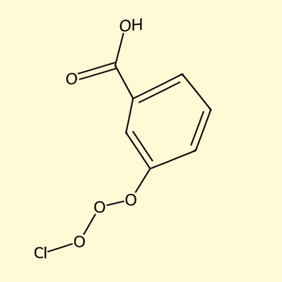 O=C(O)c1cccc(OOOCl)c1